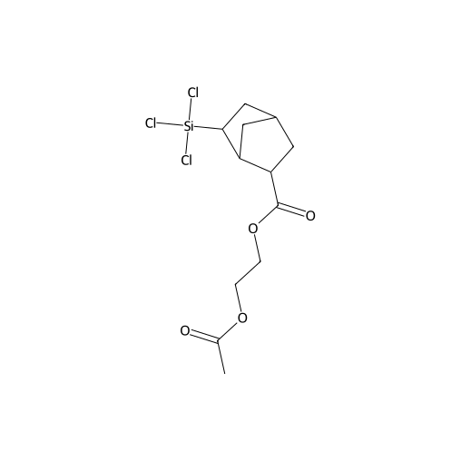 CC(=O)OCCOC(=O)C1CC2CC1C([Si](Cl)(Cl)Cl)C2